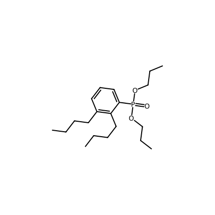 CCCCc1cccc(P(=O)(OCCC)OCCC)c1CCCC